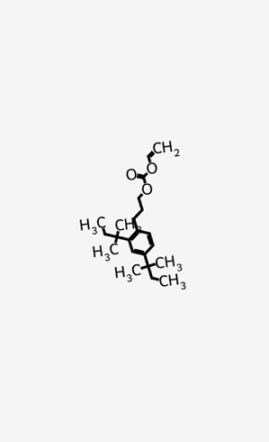 C=COC(=O)OCCCc1ccc(C(C)(C)CC)cc1C(C)(C)CC